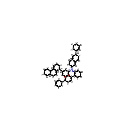 c1ccc(-c2ccc(-c3ccccc3N(c3cccc(-c4cccc5c4ccc4ccccc45)c3)c3ccc4cc(-c5ccccc5)ccc4c3)cc2)cc1